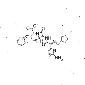 Nc1nc(C(=NOC2CCCC2)C(=O)NC2C(=O)N3C(C(=O)[O-])=C(C[n+]4ccccc4)CS[C@@H]23)cs1